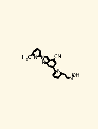 Cc1cccc(-n2cc3c(C#N)cc(-c4cccc(C/C=N\O)n4)cc3n2)n1